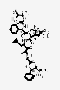 CC(C)C(C)OC(=O)N[C@H](C(=O)N1C[C@@H]2OC(C)(C)C[C@@H]2[C@H]1C(=O)NC(CC1CC1)C(=O)C(=O)NCC(=O)N[C@H](C(=O)N(C)C)c1ccccc1)C1CCCCC1